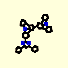 c1ccc(-c2cc(-c3ccccc3)nc(-c3ccc4c(c3)c3cc(-c5cc6c7ccccc7n7c8ccccc8c(c5)c67)cc5c6ccccc6n4c53)n2)cc1